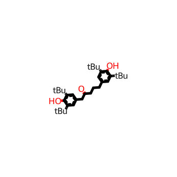 CC(C)(C)c1cc(CCCC(=O)Cc2cc(C(C)(C)C)c(O)c(C(C)(C)C)c2)cc(C(C)(C)C)c1O